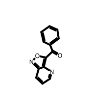 O=C(c1ccccc1)c1onc2cccnc12